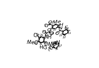 COC(=O)c1ccc(NC(=O)c2ccccc2F)cc1OC(=O)C(=O)Nc1cc(Cl)c(OC)cc1OC.O=C(O)c1ccno1